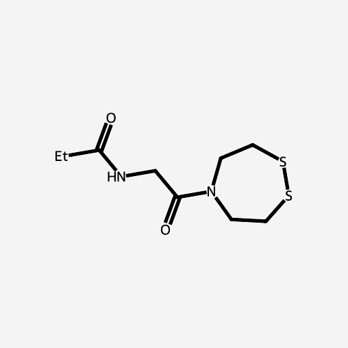 CCC(=O)NCC(=O)N1CCSSCC1